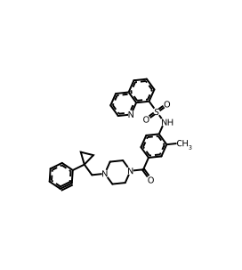 Cc1cc(C(=O)N2CCN(CC3(c4c#cccc4)CC3)CC2)ccc1NS(=O)(=O)c1cccc2cccnc12